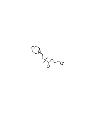 COCCOC(=O)C(C)(C)CCN1CCOCC1